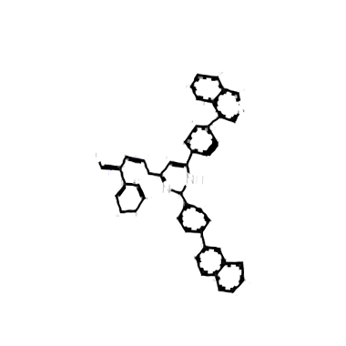 CC/C=C(\C=C/CC1=NC(c2ccc(-c3ccc4ccccc4c3)cc2)NC(c2c#cc(-c3cncc4ccccc34)cc2)=C1)C1=CCCC=C1